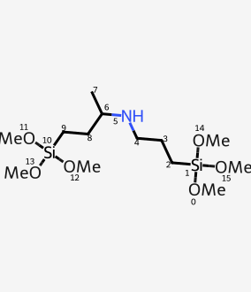 CO[Si](CCCNC(C)CC[Si](OC)(OC)OC)(OC)OC